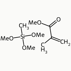 C=C(C)C(=O)OC.CO[Si](C)(OC)OC